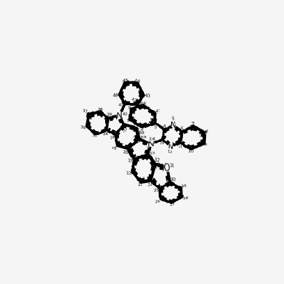 c1ccc(-c2nc3ccccc3nc2-n2c3cc4c(cc3c3ccc5c6ccccc6oc5c32)c2ccccc2n4-c2ccccc2)cc1